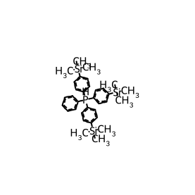 C[Si](C)(C)c1ccc([PH](c2ccccc2)(c2ccc([Si](C)(C)C)cc2)c2ccc([Si](C)(C)C)cc2)cc1